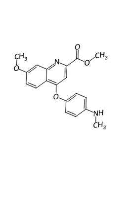 CNc1ccc(Oc2cc(C(=O)OC)nc3cc(OC)ccc23)cc1